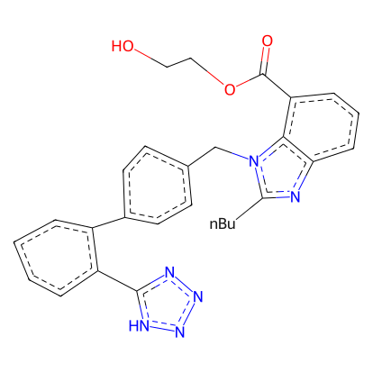 CCCCc1nc2cccc(C(=O)OCCO)c2n1Cc1ccc(-c2ccccc2-c2nnn[nH]2)cc1